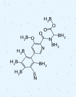 BOC(=O)C(B)N(B)C(=O)c1ncc(-c2c(B)c(B)c(B)c(C#N)c2B)cc1OB